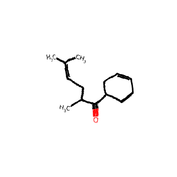 CC(C)=CCC(C)C(=O)C1CC=CCC1